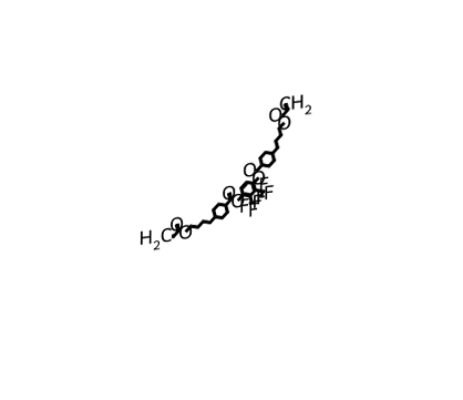 C=CC(=O)OCCCCC1CCC(C(=O)Oc2ccc(OC(=O)C3CCC(CCCCOC(=O)C=C)CC3)c(C(F)(F)F)c2C(F)(F)F)CC1